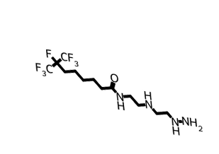 NNCCNCCNC(=O)CCCCCC(F)(C(F)(F)F)C(F)(F)F